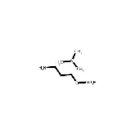 CN(C)C.NCCCOS(=O)(=O)O